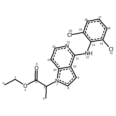 CCOC(=O)C(C)n1ccc2c(Nc3c(Cl)cccc3Cl)nccc21